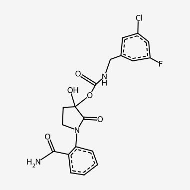 NC(=O)c1ccccc1N1CCC(O)(OC(=O)NCc2cc(F)cc(Cl)c2)C1=O